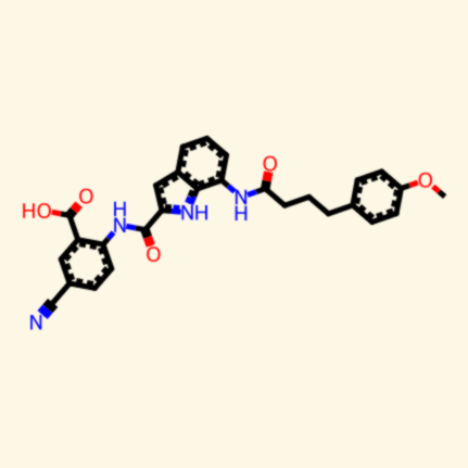 COc1ccc(CCCC(=O)Nc2cccc3cc(C(=O)Nc4ccc(C#N)cc4C(=O)O)[nH]c23)cc1